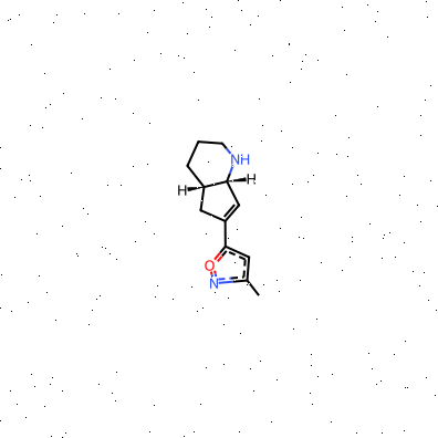 Cc1cc(C2=C[C@H]3NCCC[C@H]3C2)on1